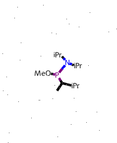 COP(C(C)C(C)C)N(C(C)C)C(C)C